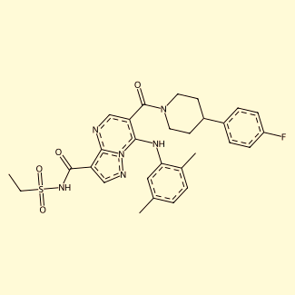 CCS(=O)(=O)NC(=O)c1cnn2c(Nc3cc(C)ccc3C)c(C(=O)N3CCC(c4ccc(F)cc4)CC3)cnc12